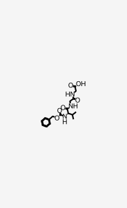 CC(C)[C@H](NC(=O)OCc1ccccc1)C(=O)NCC(=O)NCC(=O)O